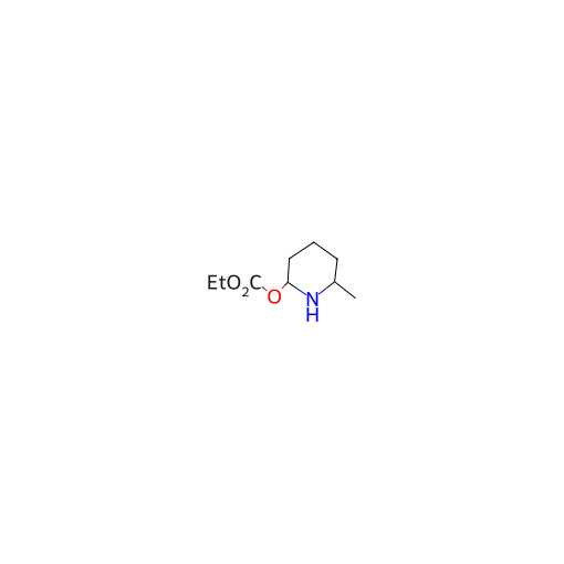 CCOC(=O)OC1CCCC(C)N1